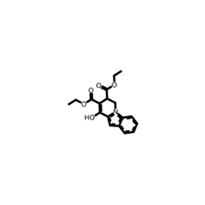 CCOC(=O)C1=C(O)c2cc3ccccc3n2CC1C(=O)OCC